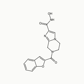 O=C(NO)c1cn2c(n1)CN(C(=O)c1cc3ccccc3o1)CC2